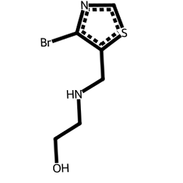 OCCNCc1scnc1Br